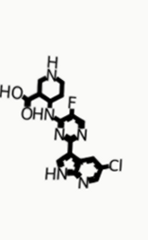 O=C(O)C1CNCCC1Nc1nc(-c2c[nH]c3ncc(Cl)cc23)ncc1F